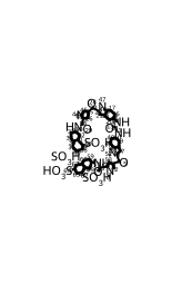 Cn1cc(C(=O)c2cc3cc(NC(=O)Nc4ccc5c(c4)cc(C(=O)c4cc(C(=O)Nc6ccc7cc(S(=O)(=O)O)cc(S(=O)(=O)O)c7c6)n(C)c4)n5C)ccc3n2C)cc1C(=O)Nc1ccc2cc(S(=O)(=O)O)cc(S(=O)(=O)O)c2c1